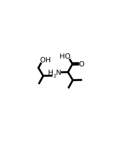 CC(C)C(N)C(=O)O.CC(C)CO